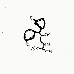 CC(C)NCC(O)C(c1cccc(Cl)c1)c1cccc(Cl)c1